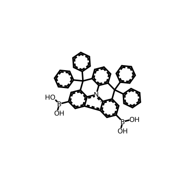 OB(O)c1cc2c3c(c1)c1cc(B(O)O)cc4c1n3-c1c(cccc1C4(c1ccccc1)c1ccccc1)C2(c1ccccc1)c1ccccc1